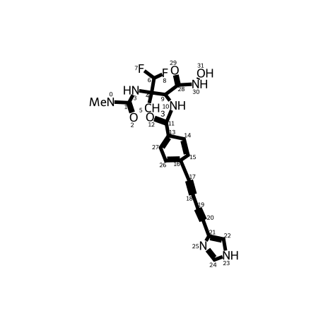 CNC(=O)NC(C)(C(F)F)C(NC(=O)c1ccc(C#CC#Cc2c[nH]cn2)cc1)C(=O)NO